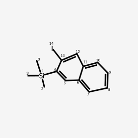 C[Si](C)(C)c1cc2ccccc2cc1I